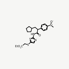 CCOC(=O)CSc1cnc(NC(=O)C(CC2CCCC2)c2ccc([S+](C)[O-])cc2)s1